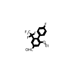 CCOc1cc(C=O)cc(C(F)(F)C(F)(F)F)c1-c1ccc(F)cc1